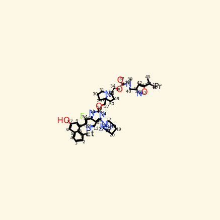 CCc1cccc2cc(O)cc(-c3ncc4c(N5CC6CCC(C5)N6)nc(OCC56CCCN5[C@@H](COC(=O)N(C)Cc5cc(C(C)C(C)C)on5)CC6)nc4c3F)c12